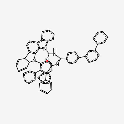 C1=CCC(c2cccc(N3c4c(ccc5c6ccccc6n(C6N=C(c7ccccc7)N=C(c7ccc(-c8cccc(-c9ccccc9)c8)cc7)N6)c45)C4C=CC=CC43)c2-c2ccccc2)C=C1